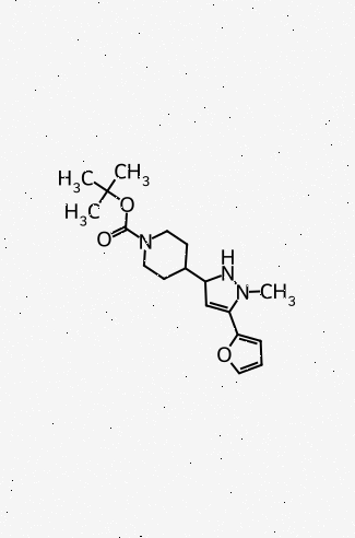 CN1NC(C2CCN(C(=O)OC(C)(C)C)CC2)C=C1c1ccco1